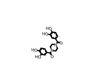 O=C(c1ccc(O)c(O)c1)N1CCN(C(=O)c2ccc(O)c(O)c2)CC1